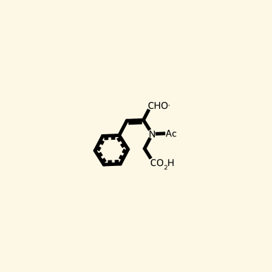 CC(=O)N(CC(=O)O)C([C]=O)=Cc1ccccc1